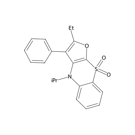 CCc1oc2c(c1-c1ccccc1)N(C(C)C)c1ccccc1S2(=O)=O